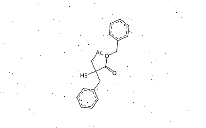 CC(=O)CC(S)(Cc1ccccc1)C(=O)OCc1ccccc1